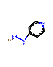 BrNNc1ccncc1